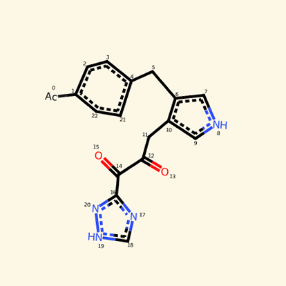 CC(=O)c1ccc(Cc2c[nH]cc2CC(=O)C(=O)c2nc[nH]n2)cc1